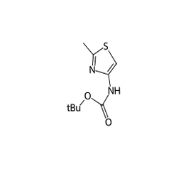 Cc1nc(NC(=O)OC(C)(C)C)cs1